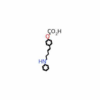 O=C(O)COc1ccc(C=CCCCNc2ccccc2)cc1